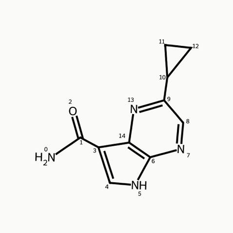 NC(=O)c1c[nH]c2ncc(C3CC3)nc12